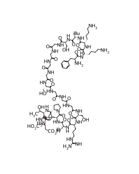 CC[C@H](C)[C@H](NC(=O)[C@H](CCCCN)NC(=O)[C@H](CCCCN)NC(=O)[C@@H](N)Cc1ccccc1)C(=O)N[C@@H](CO)C(=O)NCC(=O)NCC(=O)NCC(=O)NCC(=O)N[C@@H](CO)C(=O)NCC(=O)NCC(=O)NCC(=O)N[C@@H](CO)C(=O)N[C@@H](CCCNC(=N)N)C(=O)N[C@H](C(=O)N[C@@H](CCC(N)=O)C(=O)N1CCC[C@H]1C(=O)N[C@H](C(=O)N[C@@H](CCC(=O)O)C(=O)O)[C@@H](C)O)C(C)C